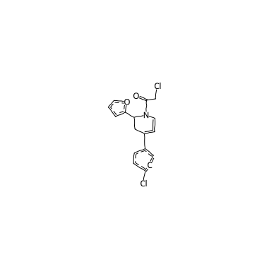 O=C(CCl)N1C=C=C(c2ccc(Cl)cc2)CC1c1ccco1